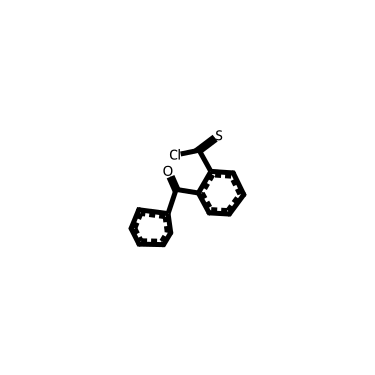 O=C(c1ccccc1)c1ccccc1C(=S)Cl